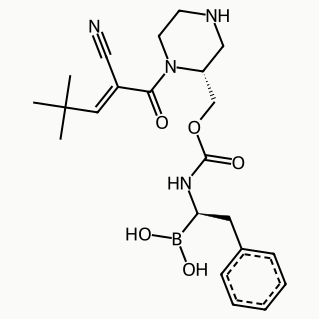 CC(C)(C)/C=C(\C#N)C(=O)N1CCNC[C@@H]1COC(=O)N[C@@H](Cc1ccccc1)B(O)O